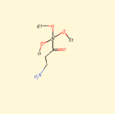 CCO[Si](OCC)(OCC)C(=O)CCN